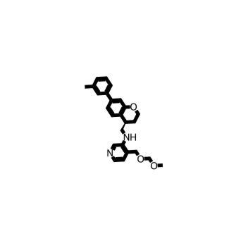 COCOCc1ccncc1NC[C@@H]1CCOc2cc(-c3cccc(C)c3)ccc21